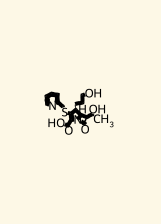 C[C@@H](O)[C@H]1C(=O)N2C(C(=O)O)=C(SCc3ccccn3)[C@H](CCCO)[C@H]12